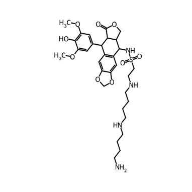 COc1cc(C2c3cc4c(cc3C(NS(=O)(=O)CCNCCCCNCCCCN)C3COC(=O)C23)OCO4)cc(OC)c1O